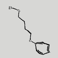 CCOCCCCOc1cc[c]cc1